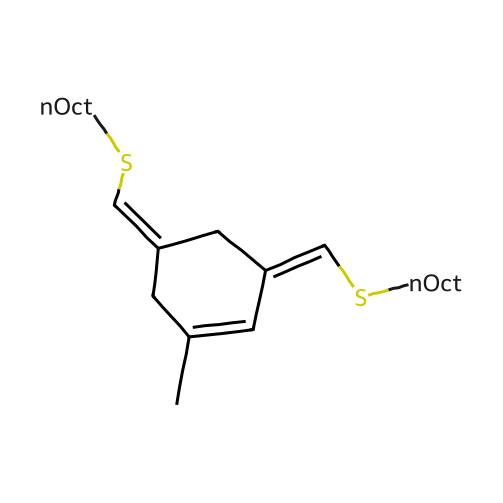 CCCCCCCCSC=C1C=C(C)CC(=CSCCCCCCCC)C1